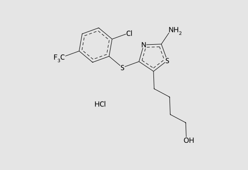 Cl.Nc1nc(Sc2cc(C(F)(F)F)ccc2Cl)c(CCCCO)s1